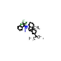 CC(C)C1=CC2=CCC3C(C)(N4NC4(c4ccccc4)C(F)(F)F)CCC[C@]3(C)[C@H]2CC1